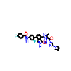 Cc1nc(-c2ccc(-c3ccc(NC(=O)c4ccc(F)cc4)cc3F)c3c2C(=O)NC3)[nH]c1C(=O)NCCN1CCCC1